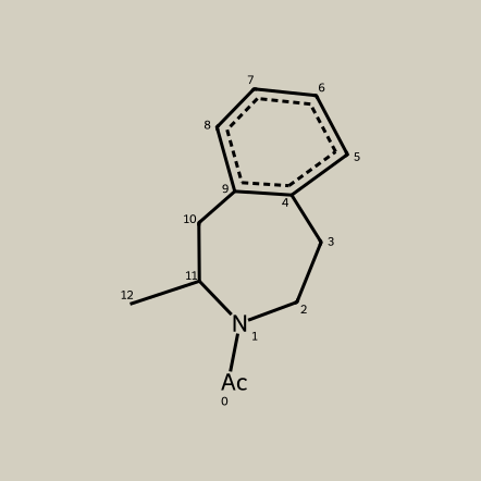 CC(=O)N1CCc2ccccc2CC1C